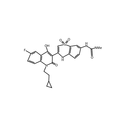 CNC(=O)Nc1ccc2c(c1)S(=O)(=O)C=C(c1c(O)c3cc(F)ccc3n(CCC3CC3)c1=O)N2